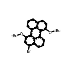 CC(C)(C)Oc1ccc2cccc3c4c(OC(C)(C)C)cc(Br)c5cccc(c1c23)c54